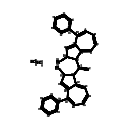 Cl.Cl.[CH2]=[Zr]([CH]1C2=CC=CC=C(c3ccccc3)C2=CC1CC)[CH]1C2=CC=CC=C(c3ccccc3)C2=CC1CC